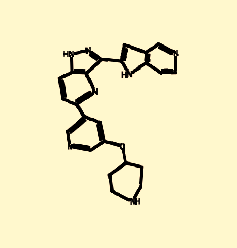 c1cc2[nH]c(-c3n[nH]c4ccc(-c5cncc(OC6CCNCC6)c5)nc34)cc2cn1